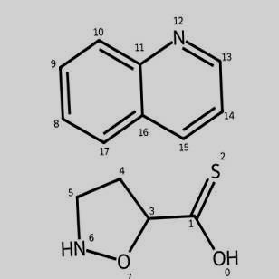 OC(=S)C1CCNO1.c1ccc2ncccc2c1